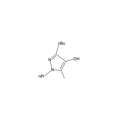 CCCCc1nn(CCC)c(C)c1O